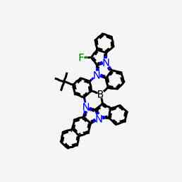 CC(C)(C)c1cc2c3c(c1)-n1c4c(cccc4n4c5ccccc5c(F)c14)B3c1c3ccccc3n3c4cc5ccccc5cc4n-2c13